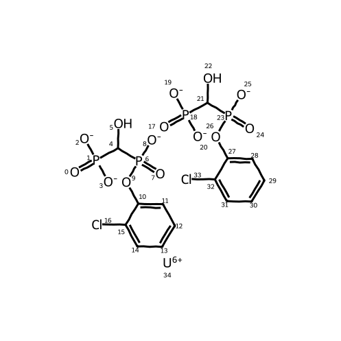 O=P([O-])([O-])C(O)P(=O)([O-])Oc1ccccc1Cl.O=P([O-])([O-])C(O)P(=O)([O-])Oc1ccccc1Cl.[U+6]